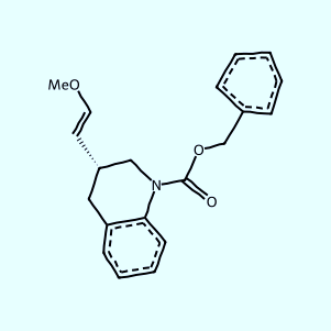 COC=C[C@H]1Cc2ccccc2N(C(=O)OCc2ccccc2)C1